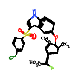 Cc1cc(C(F)C(=O)O)cc(C)c1Oc1ccc2[nH]cc(S(=O)(=O)c3ccc(Cl)cc3)c2c1